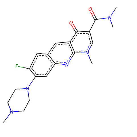 CN1CCN(c2cc3nc4c(cc3cc2F)c(=O)c(C(=O)N(C)C)cn4C)CC1